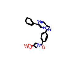 O=C(c1ccc(-c2ncc3cnc(-c4ccccc4)cn23)cc1)N1CC(O)C1